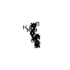 Cc1ncc(Cl)cc1C(=O)NC1CCC(Cn2c(=O)n(-c3ccc4ncsc4c3)c3ncccc32)CC1